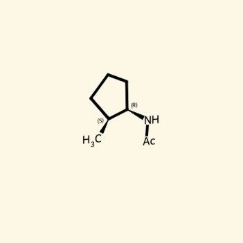 CC(=O)N[C@@H]1CCC[C@@H]1C